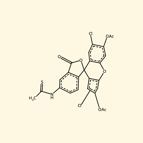 CC(=O)Oc1cc2c(cc1Cl)C1(OC(=O)c3cc(NC(C)=S)ccc31)c1cc(Cl)c(OC(C)=O)cc1O2